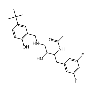 CC(=O)NC(Cc1cc(F)cc(F)c1)C(O)CNCc1cc(C(C)(C)C)ccc1O